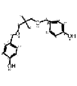 CC(C)(COCc1ccc(O)cc1)COCc1ccc(O)cc1